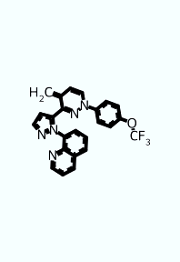 C=C1C=CN(c2ccc(OC(F)(F)F)cc2)N=C1c1ccnn1-c1cccc2cccnc12